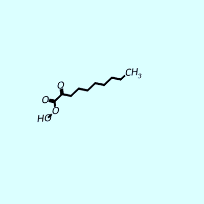 CCCCCCCCC(=O)C(=O)OO